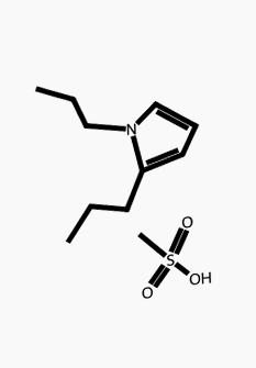 CCCc1cccn1CCC.CS(=O)(=O)O